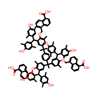 Cc1cc(C(c2cc(C)c(O)cc2C)c2cc(C(C)(C)c3ccc(C(C)(c4cc(C)c(OCc5cccc6c(C(=O)O)cccc56)c(C(c5cc(C)c(O)cc5C)c5cc(C)c(O)cc5C)c4)c4cc(C)c(OCc5cccc6c(C(=O)O)cccc56)c(C(c5cc(C)c(O)cc5C)c5cc(C)c(O)cc5C)c4)cc3)cc(C)c2OCc2cccc3c(C(=O)O)cccc23)c(C)cc1O